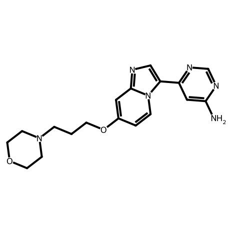 Nc1cc(-c2cnc3cc(OCCCN4CCOCC4)ccn23)ncn1